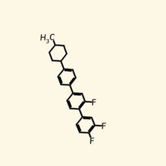 CC1CCC(c2ccc(-c3ccc(-c4ccc(F)c(F)c4)c(F)c3)cc2)CC1